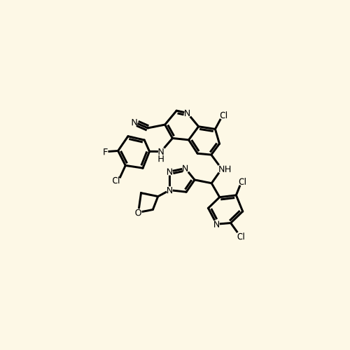 N#Cc1cnc2c(Cl)cc(NC(c3cn(C4COC4)nn3)c3cnc(Cl)cc3Cl)cc2c1Nc1ccc(F)c(Cl)c1